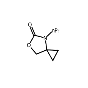 CCCN1C(=O)OCC12CC2